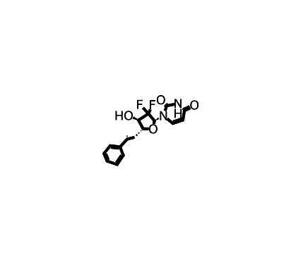 O=c1ccn([C@@H]2O[C@H](C[CH]c3ccccc3)[C@@H](O)C2(F)F)c(=O)[nH]1